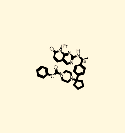 CC(C)n1c(=O)ccc2cnc(N[C@@H](C)c3ccc(C4(N5CCN(C(=O)Oc6ccccc6)CC5)CCCC4)cc3)nc21